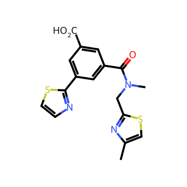 Cc1csc(CN(C)C(=O)c2cc(C(=O)O)cc(-c3nccs3)c2)n1